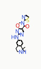 CC1(C)NCCc2cc(Nc3ncc4c(n3)OCN(c3nccs3)C4=O)ccc21